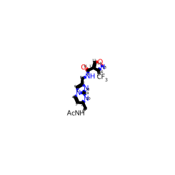 CC(=O)NCc1ccn2cc(CNC(=O)c3conc3C(F)(F)F)nc2n1